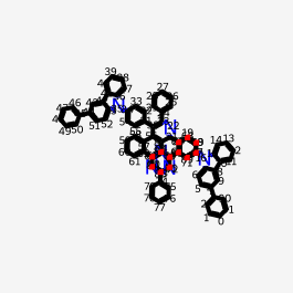 c1ccc(-c2ccc3c(c2)c2ccccc2n3-c2ccc(-c3nc(-c4ccccc4)c(-c4ccc(-n5c6ccccc6c6cc(-c7ccccc7)ccc65)cc4)c(-c4ccccc4-c4nc(-c5ccccc5)nc(-c5ccccc5)n4)c3-c3ccccc3)cc2)cc1